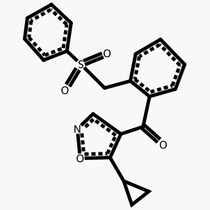 O=C(c1ccccc1CS(=O)(=O)c1ccccc1)c1cnoc1C1CC1